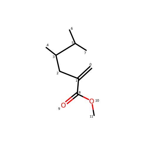 C=C(CC(C)C(C)C)C(=O)OC